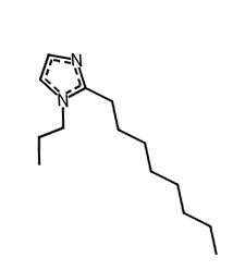 CCCCCCCCc1nccn1CCC